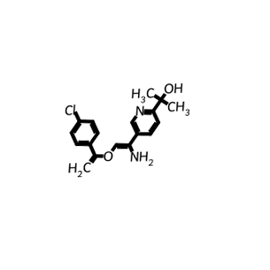 C=C(O/C=C(\N)c1ccc(C(C)(C)O)nc1)c1ccc(Cl)cc1